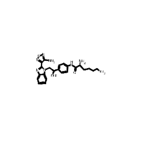 NCCCC[C@H](N)C(=O)Nc1ccc(C(O)Cn2c(-c3nonc3N)nc3ccccc32)cc1